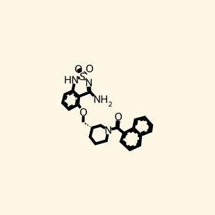 NC1=NS(=O)(=O)Nc2cccc(OC[C@H]3CCCN(C(=O)c4cccc5ccccc45)C3)c21